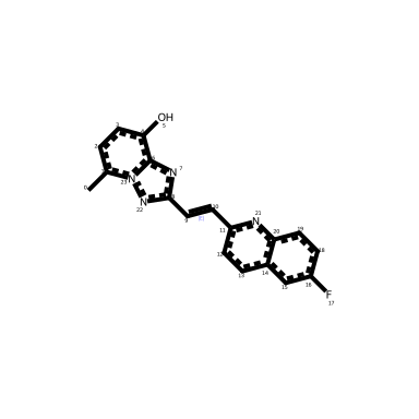 Cc1ccc(O)c2nc(/C=C/c3ccc4cc(F)ccc4n3)nn12